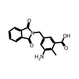 Cc1c(N)cc(CN2C(=O)c3ccccc3C2=O)cc1C(=O)O